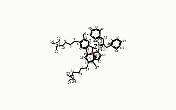 Cc1cc2c(cc1CCCC[Si](C)(C)C)-c1cc(CCCC[Si](C)(C)C)c(C)cc1[CH]2[Zr]([Cl])([Cl])(=[C](Cc1ccccc1)Cc1ccccc1)[CH]1C=CC=C1